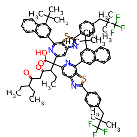 CCC(CC)C(=O)CC(=O)C(CC)C(C(=O)O)(c1cc2nc(-c3ccc(CC(C)(C)C(F)(F)F)cc3)sc2c(-c2cc(C(C)(C)C)c3ccccc3c2)n1)c1cc2nc(-c3ccc(CC(C)(C)C(F)(F)F)cc3)sc2c(-c2cc(C(C)(C)C)c3ccccc3c2)n1